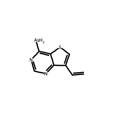 C=Cc1csc2c([AsH2])ncnc12